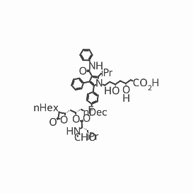 CC(C)c1c(C(=O)Nc2ccccc2)c(-c2ccccc2)c(-c2ccc(F)cc2)n1CC[C@@H](O)C[C@@H](O)CC(=O)O.CCCCCCCCCCC[C@@H](C[C@@H]1OC(=O)[C@H]1CCCCCC)OC(=O)[C@H](CC(C)C)NC=O